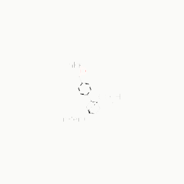 CCCCCC12CCC(C(=O)O)(CC1)C(c1ccc(COCCC)cc1)C2